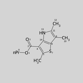 CCCOC(=O)c1c(C)sc2c(C)c(C)[nH]c12